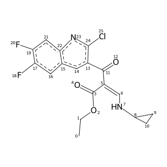 CCOC(=O)C(=CNC1CC1)C(=O)c1cc2cc(F)c(F)cc2nc1Cl